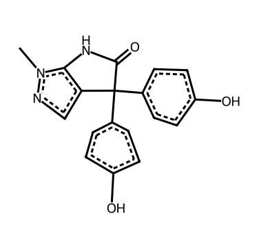 Cn1ncc2c1NC(=O)C2(c1ccc(O)cc1)c1ccc(O)cc1